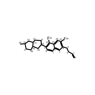 C=CCCc1cc2ccc(C3CCC4CC(C)CCC4C3)c(F)c2cc1F